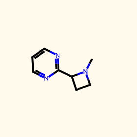 CN1CC[C]1c1ncccn1